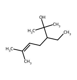 CCC(CC=C(C)C)C(C)(C)O